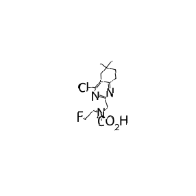 CC1(C)CCc2nc(CN(CCF)C(=O)O)nc(Cl)c2C1